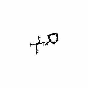 FC(F)=C(F)[Te]c1ccccc1